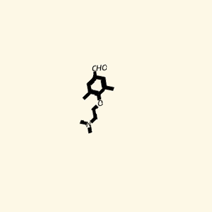 Cc1cc(C=O)cc(C)c1OCCN(C)C